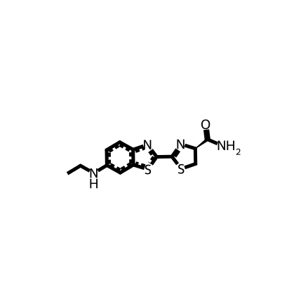 CCNc1ccc2nc(C3=N[C@@H](C(N)=O)CS3)sc2c1